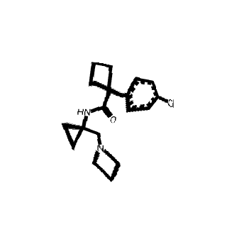 O=C(NC1(CN2CCC2)CC1)C1(c2ccc(Cl)cc2)CCC1